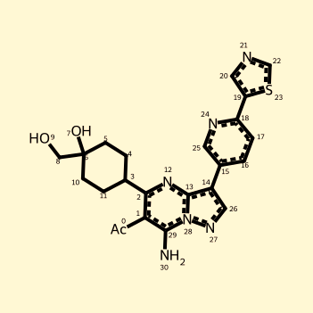 CC(=O)c1c(C2CCC(O)(CO)CC2)nc2c(-c3ccc(-c4cncs4)nc3)cnn2c1N